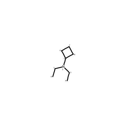 CCN(CC)C1C[CH]C1